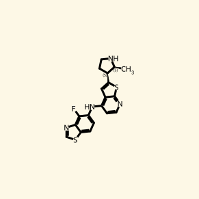 C[C@@H]1NCC[C@@H]1c1cc2c(Nc3ccc4scnc4c3F)ccnc2s1